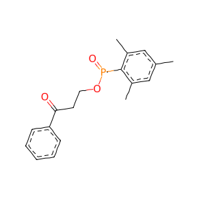 Cc1cc(C)c([P](=O)OCCC(=O)c2ccccc2)c(C)c1